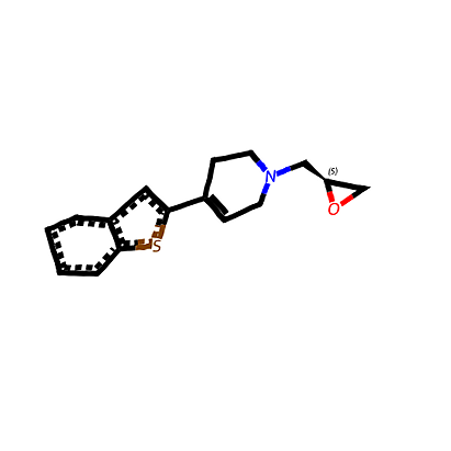 C1=C(c2cc3ccccc3s2)CCN(C[C@H]2CO2)C1